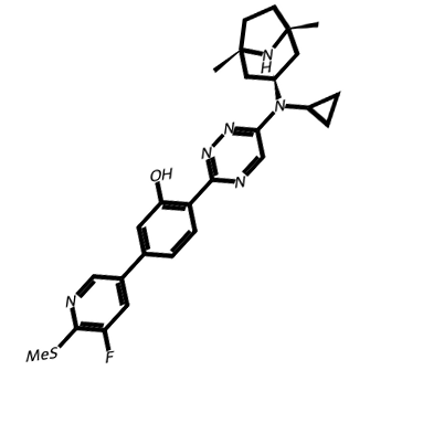 CSc1ncc(-c2ccc(-c3ncc(N(C4CC4)[C@H]4C[C@]5(C)CC[C@](C)(C4)N5)nn3)c(O)c2)cc1F